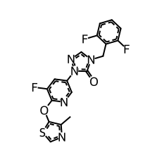 Cc1ncsc1Oc1ncc(-n2ncn(Cc3c(F)cccc3F)c2=O)cc1F